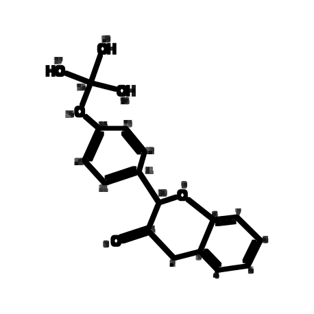 O=C1Cc2ccccc2OC1c1ccc(OC(O)(O)O)cc1